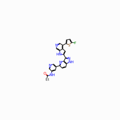 CCC(=O)Nc1cncc(-c2ccc3[nH]nc(-c4cc5c(-c6ccc(F)s6)cncc5[nH]4)c3n2)c1